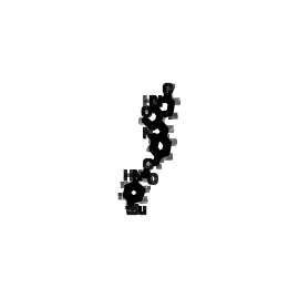 Cc1nc2cc(COC(=O)Nc3ccc(C(C)(C)C)cc3)ccc2cc1C1CCC(=O)NC1=O